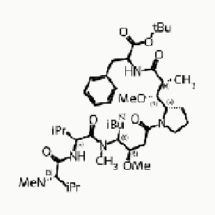 CC[C@H](C)[C@@H]([C@@H](CC(=O)N1CCC[C@H]1[C@H](OC)[C@@H](C)C(=O)NC(Cc1ccccc1)C(=O)OC(C)(C)C)OC)N(C)C(=O)[C@@H](NC(=O)[C@@H](NC)C(C)C)C(C)C